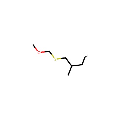 [Li][CH2]C(C)CSCOC